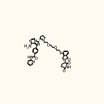 Nc1nccn2c([C@@H]3CCCN3CCOCCOCCSc3cccc4c3CN(C3CCC(=O)NC3=O)C4=O)nc(-c3ccc(C(=O)Nc4ccccn4)cc3)c12